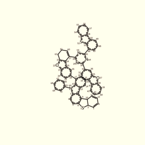 C1=CC2Sc3ccc4c(c3C2C=C1)c1cccc(-c2ccc3oc5c(c3c2)C(c2nc(-c3ccc6c(c3)oc3ccccc36)nc(-c3cccc6c3sc3ccccc36)n2)=CCC5)c1n4-c1ccccc1